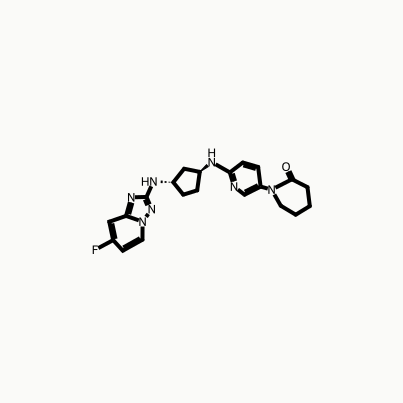 O=C1CCCCN1c1ccc(N[C@H]2CC[C@H](Nc3nc4cc(F)ccn4n3)C2)nc1